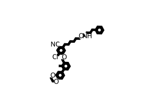 Cc1c(COc2cc(CCCCCCONCCCc3ccccc3)c(C#N)cc2Cl)cccc1-c1ccc2c(c1)OCCO2